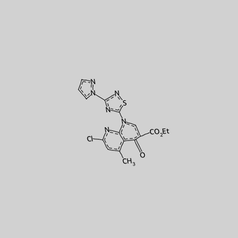 CCOC(=O)c1cn(-c2nc(-n3cccn3)ns2)c2nc(Cl)cc(C)c2c1=O